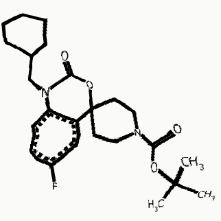 CC(C)(C)OC(=O)N1CCC2(CC1)OC(=O)N(CC1CCCCC1)c1ccc(F)cc12